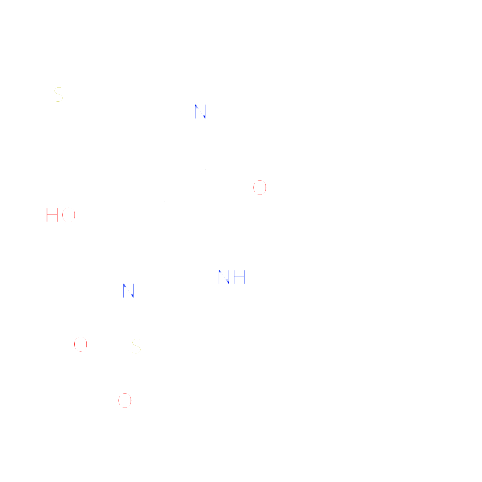 CCCCCn1c(=O)c(C2=NS(=O)(=O)c3ccccc3N2)c(O)c2sccc21